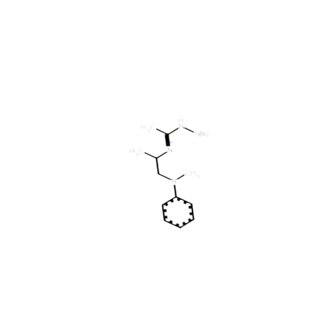 CCCCN/C(C)=N/C(C)CN(C)c1ccccc1